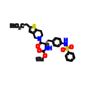 CCOC(=O)Cc1cc2c(s1)CCN(C(=O)[C@H](Cc1ccc(NS(=O)(=O)c3ccccc3)cc1)NC(=O)OC(C)(C)C)C2